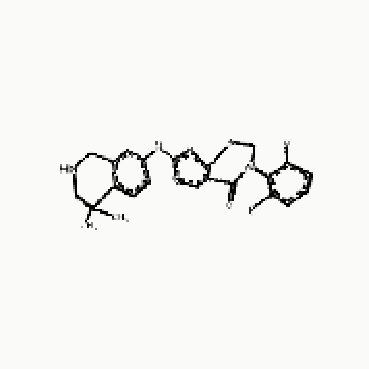 CC1(C)CNCc2cc(Nc3ncc4c(n3)SCN(c3c(F)cccc3Cl)C4=O)ccc21